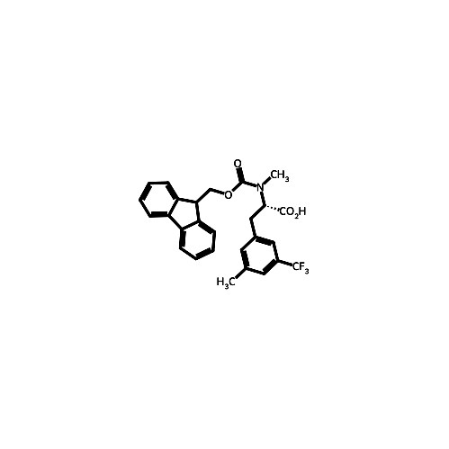 Cc1cc(C[C@@H](C(=O)O)N(C)C(=O)OCC2c3ccccc3-c3ccccc32)cc(C(F)(F)F)c1